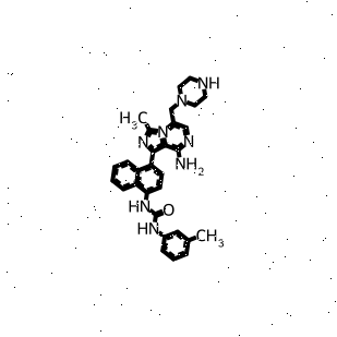 Cc1cccc(NC(=O)Nc2ccc(-c3nc(C)n4c(CN5CCNCC5)cnc(N)c34)c3ccccc23)c1